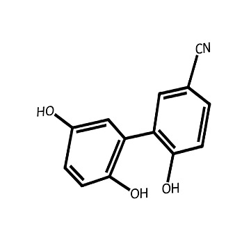 N#Cc1ccc(O)c(-c2cc(O)ccc2O)c1